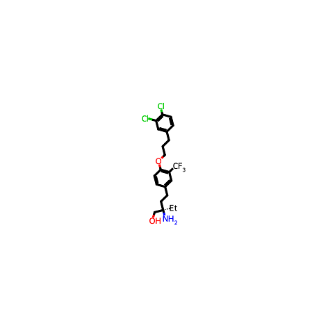 CC[C@](N)(CO)CCc1ccc(OCCCc2ccc(Cl)c(Cl)c2)c(C(F)(F)F)c1